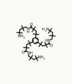 CC(C)(N)CC(C)(C)CNC(=O)C(C)(C)CC(C)(C)c1cc(C(C)(C)CC(C)(C)C(=O)NCC(C)(C)CC(C)(C)N)cc(C(C)(C)CC(C)(C)C(=O)NCC(C)(C)CC(C)(C)N)c1